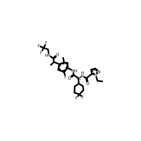 CCn1nccc1C(=O)N[C@H](C(=O)Nc1cc(C)c(C(C)C(=O)NCC(F)(F)F)cc1F)C1CCC(F)(F)CC1